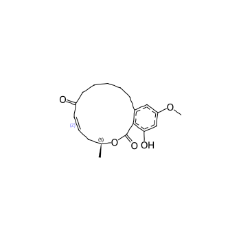 COc1cc(O)c2c(c1)CCCCCC(=O)/C=C\C[C@H](C)OC2=O